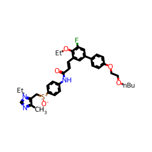 CCCCOCCOc1ccc(-c2cc(F)c(OCC)c(/C=C/C(=O)Nc3ccc([S@+]([O-])Cc4c(C)ncn4CC)cc3)c2)cc1